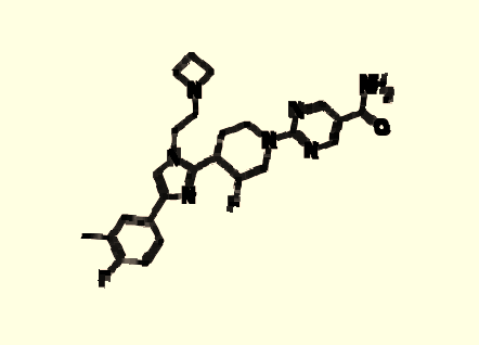 Cc1cc(-c2cn(CCN3CCC3)c(C3CCN(c4ncc(C(N)=O)cn4)CC3F)n2)ccc1F